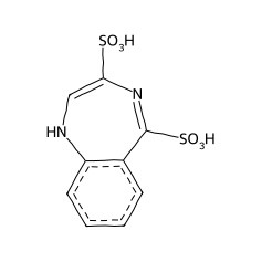 O=S(=O)(O)C1=CNc2ccccc2C(S(=O)(=O)O)=N1